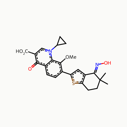 COc1c(-c2cc3c(s2)CCC(C)(C)C3=NO)ccc2c(=O)c(C(=O)O)cn(C3CC3)c12